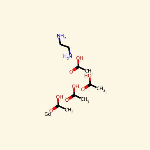 CC(=O)O.CC(=O)O.CC(=O)O.CC(=O)O.NCCN.[Gd]